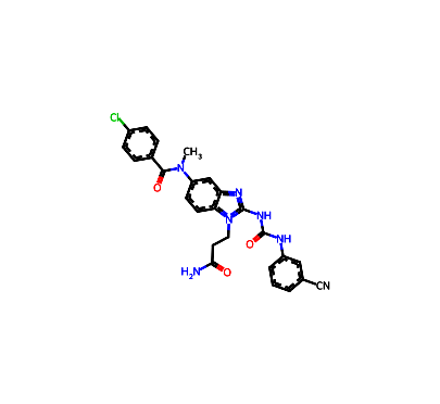 CN(C(=O)c1ccc(Cl)cc1)c1ccc2c(c1)nc(NC(=O)Nc1cccc(C#N)c1)n2CCC(N)=O